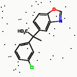 CC(C(=O)O)(c1cccc(Cl)c1)c1ccc2ocnc2c1